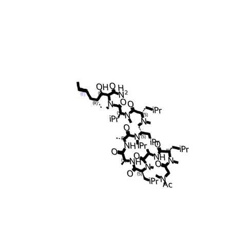 C/C=C/C[C@@H](C)[C@@H](O)C(C(N)=O)N(C)C(=O)[C@H](C(C)C)N(C)C(=O)[C@H](CC(C)C)N(C)C[C@H](CC(C)C)N(C)C(=O)[C@@H](C)NC(=O)[C@H](C)NC(=O)[C@H](CC(C)C)N(C)C(=O)C(NC(=O)[C@H](CC(C)C)N(C)C(=O)CN(C)C(C)=O)C(C)C